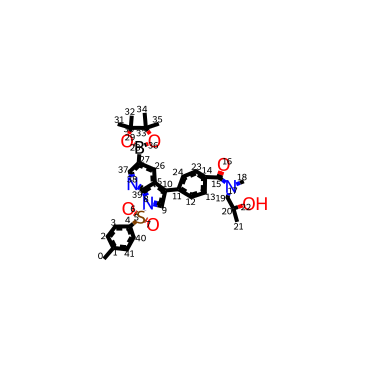 Cc1ccc(S(=O)(=O)n2cc(-c3ccc(C(=O)N(C)CC(C)O)cc3)c3cc(B4OC(C)(C)C(C)(C)O4)cnc32)cc1